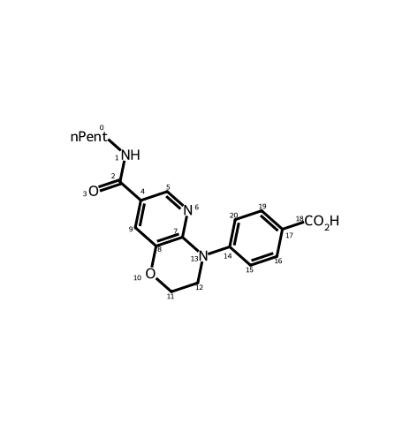 CCCCCNC(=O)c1cnc2c(c1)OCCN2c1ccc(C(=O)O)cc1